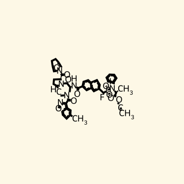 CCCOC(=O)[C@H](C)NP(=O)(Oc1ccccc1)[C@@H](F)c1ccc2ccc(C(=O)N[C@H]3CN(C(=O)c4noc5ccc(C)cc45)CC[C@H]4CC[C@@H](C(=O)N5CC6CCC(C5)O6)N4C3=O)cc2c1